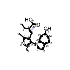 CC/C(=C\c1c(C)nn(C)c1-n1ccc2ccc(O)cc21)C(=O)O